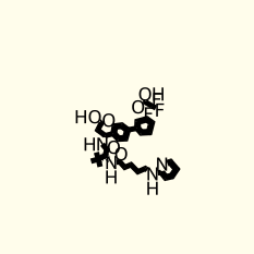 CC(C)(C)[C@@H](NC(=O)CCCCNc1ccccn1)C(=O)NC(CC(=O)O)c1ccc(-c2ccccc2)cc1.O=C(O)C(F)(F)F